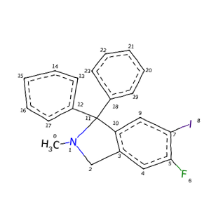 CN1Cc2cc(F)c(I)cc2C1(c1ccccc1)c1ccccc1